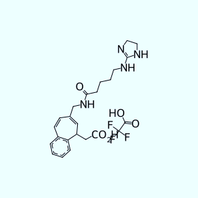 O=C(O)C(F)(F)F.O=C(O)CC1C=C(CNC(=O)CCCCNC2=NCCN2)C=Cc2ccccc21